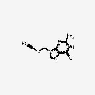 C#COCn1cnc2c(=O)[nH]c(N)nc21